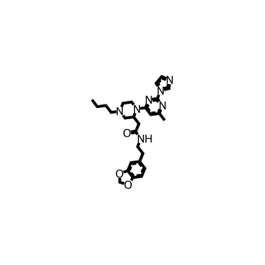 CCCCN1CCN(c2cc(C)nc(-n3ccnc3)n2)C(CC(=O)NCCc2ccc3c(c2)OCO3)C1